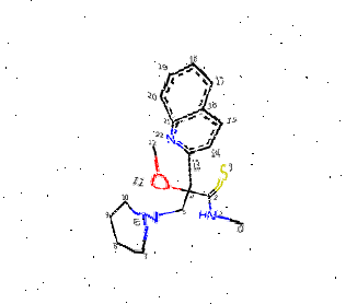 CNC(=S)C(CN1CCCC1)(OC)c1ccc2ccccc2n1